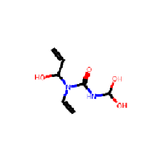 C=CC(O)N(C=C)C(=O)NC(O)O